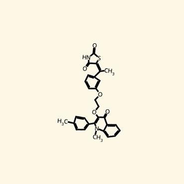 C/C(=C1\SC(=O)NC1=O)c1cccc(OCCOc2c(-c3ccc(C)cc3)n(C)c3ccccc3c2=O)c1